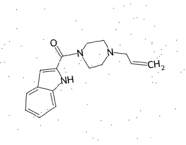 C=CCN1CCN(C(=O)c2cc3ccccc3[nH]2)CC1